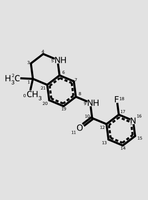 CC1(C)CCNc2cc(NC(=O)c3cccnc3F)ccc21